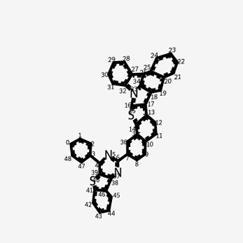 c1ccc(-c2nc(-c3ccc4ccc5c(sc6c5c5cc7ccccc7c7c8ccccc8n6c57)c4c3)nc3c2sc2ccccc23)cc1